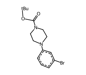 CC(C)(C)OC(=O)N1CCN(c2cccc(Br)c2)CC1